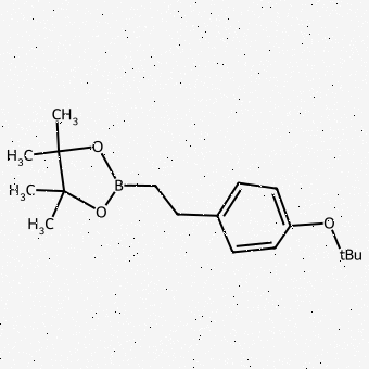 CC(C)(C)Oc1ccc(CCB2OC(C)(C)C(C)(C)O2)cc1